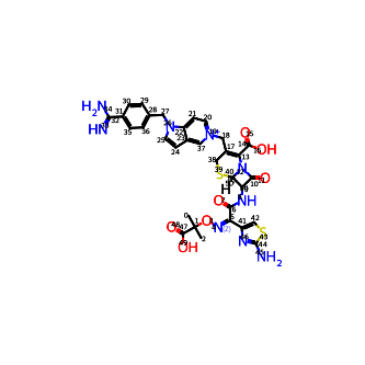 CC(C)(O/N=C(\C(=O)N[C@@H]1C(=O)N2C(C(=O)O)=C(C[n+]3ccc4c(ccn4Cc4ccc(C(=N)N)cc4)c3)CS[C@H]12)c1csc(N)n1)C(=O)O